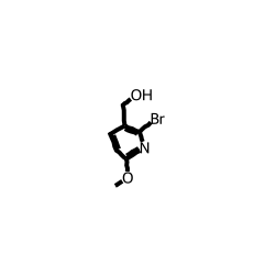 COc1ccc(CO)c(Br)n1